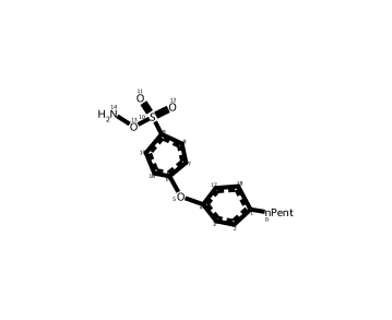 CCCCCc1ccc(Oc2ccc(S(=O)(=O)ON)cc2)cc1